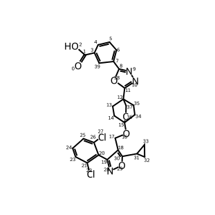 O=C(O)c1cccc(-c2nnc(C34CCC(OCc5c(-c6c(Cl)cccc6Cl)noc5C5CC5)(CC3)CC4)o2)c1